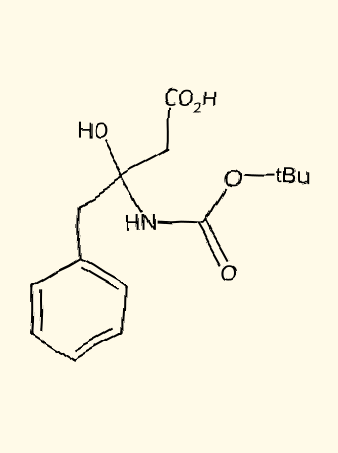 CC(C)(C)OC(=O)NC(O)(CC(=O)O)Cc1ccccc1